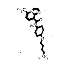 CCCCCOC1CCC(NC(=O)c2ccc(C)n3ccnc23)CC1